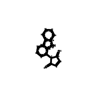 O=C1C=CC(=O)N1c1cccc2c1[nH]c1ccccc12